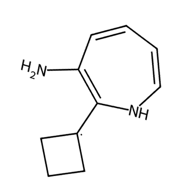 NC1=C([C]2CCC2)NC=CC=C1